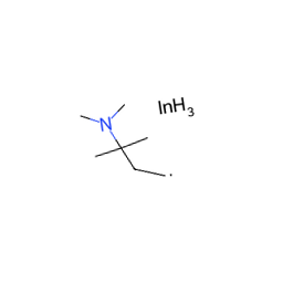 [CH2]CC(C)(C)N(C)C.[InH3]